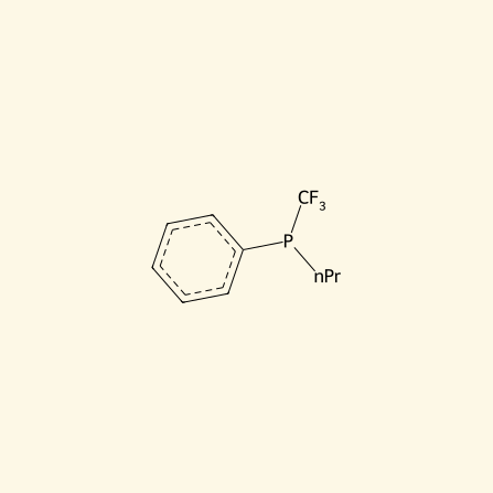 CCCP(c1ccccc1)C(F)(F)F